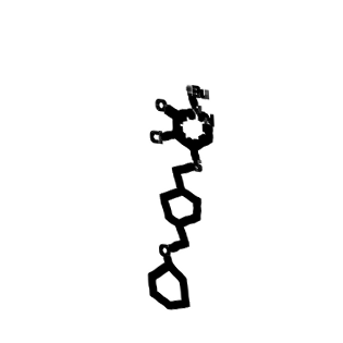 CC(C)(C)n1ncc(SCC2CCC(COC3CCCCC3)CC2)c(Cl)c1=O